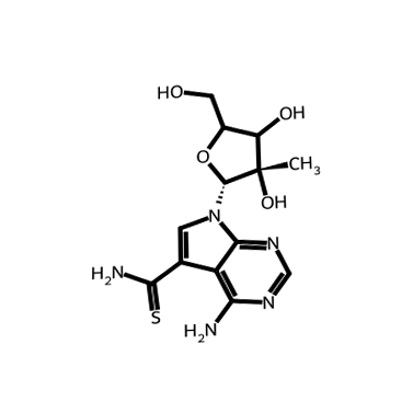 C[C@]1(O)C(O)C(CO)O[C@H]1n1cc(C(N)=S)c2c(N)ncnc21